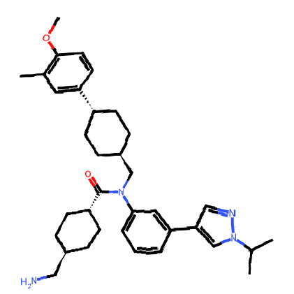 COc1ccc([C@H]2CC[C@H](CN(c3cccc(-c4cnn(C(C)C)c4)c3)C(=O)[C@H]3CC[C@H](CN)CC3)CC2)cc1C